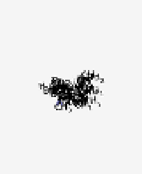 C/C=C/C[C@@H](C)[C@@H](O)[C@@H](C(=O)N[C@@H](CC)C(=O)N(C)CC(=O)N(C)[C@@H](CCN)C(=O)N[C@H](C(=O)N(C)[C@@H](CC(C)C)C(=O)N[C@H](C)C(N)=O)C(C)C)N(C)C(=O)[C@H](C(C)C)N(C)C(=O)[C@H](CC(C)C)N(C)C(=O)[C@@H](C)N(C)C(=O)CC